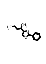 CCCC(C)C1CO[C](c2ccccc2)O1